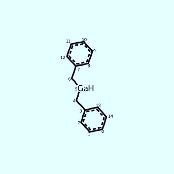 c1ccc([CH2][GaH][CH2]c2ccccc2)cc1